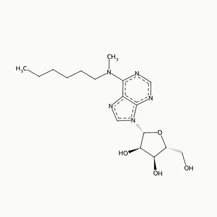 CCCCCCN(C)c1ncnc2c1ncn2[C@@H]1O[C@H](CO)[C@@H](O)[C@H]1O